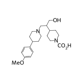 COc1ccc(C2CCN(CC(CO)C3CCN(C(=O)O)CC3)CC2)cc1